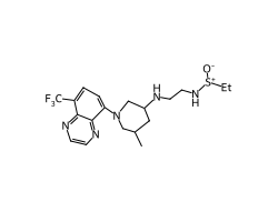 CC[S+]([O-])NCCNC1CC(C)CN(c2ccc(C(F)(F)F)c3nccnc23)C1